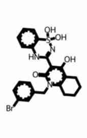 O=c1c(C2=NS(O)(O)c3ccccc3N2)c(O)c2c(n1Cc1cccc(Br)c1)CCCC2